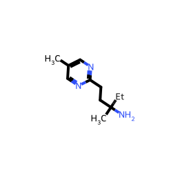 CCC(C)(N)CCc1ncc(C)cn1